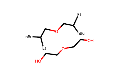 CCCCC(CC)COCC(CC)CCCC.OCCOCCO